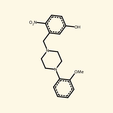 COc1ccccc1N1CCN(Cc2cc(O)ccc2[N+](=O)[O-])CC1